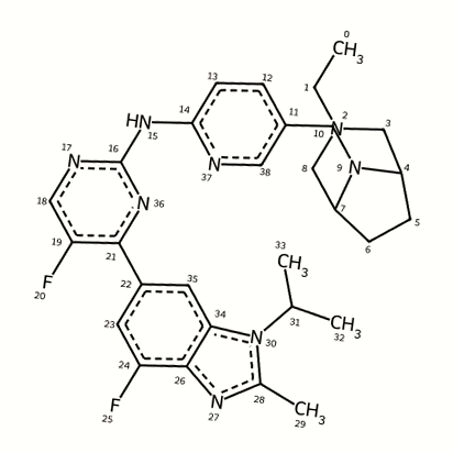 CCN1CC2CCC(C1)N2Cc1ccc(Nc2ncc(F)c(-c3cc(F)c4nc(C)n(C(C)C)c4c3)n2)nc1